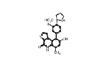 Cc1cc(O)c(-c2ccc([C@@]3(C(=O)O)CCCN3)c(F)c2)c2c1[nH]c(=O)c1sccc12